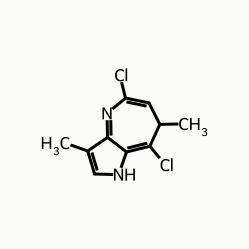 Cc1c[nH]c2c1=NC(Cl)=CC(C)C=2Cl